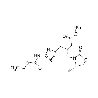 CC(C)C1COC(=O)N1C[C@@H](CC(=O)OC(C)(C)C)Cc1csc(NC(=O)OCC(Cl)(Cl)Cl)n1